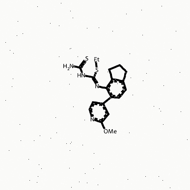 CCSC(=Nc1c(-c2ccnc(OC)c2)ccc2c1CCC2)NC(N)=S